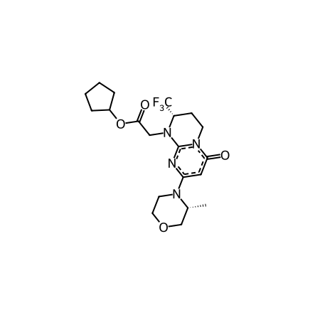 C[C@@H]1COCCN1c1cc(=O)n2c(n1)N(CC(=O)OC1CCCC1)[C@H](C(F)(F)F)CC2